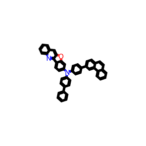 c1ccc(-c2ccc(N(c3ccc(-c4ccc5ccc6ccccc6c5c4)cc3)c3ccc4c(c3)oc3cc5ccccc5nc34)cc2)cc1